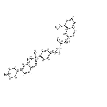 Cc1cncc2ccc(NC(=O)[C@@H]3C[C@H]3c3ccc(S(=O)(=O)Nc4cc(C5CCNCC5)ccn4)cc3)cc12